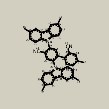 Cc1ccc(-c2cc(-n3c4ccc(C)cc4c4cc(C)ccc43)c(C#N)cc2-n2c3ccc(C)cc3c3cc(C)ccc32)c(C#N)c1